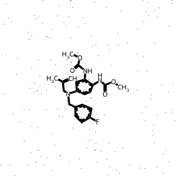 C=C(C)CN(Cc1ccc(F)cc1)c1ccc(NC(=O)OC)c(NC(=O)OC)c1